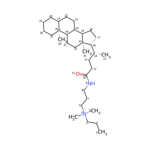 CCC[N+](C)(C)CCCNC(=O)CC[C@@H](C)[C@H]1CCC2C3CCC4CCCC[C@]4(C)C3CC[C@@]21C